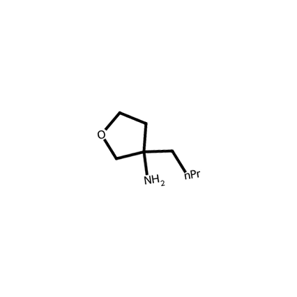 CCCCC1(N)CCOC1